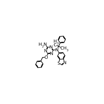 CC(C)(c1ccccc1)N(c1ccc2ncsc2c1)c1nc(N)nc(OCc2ccccc2)n1